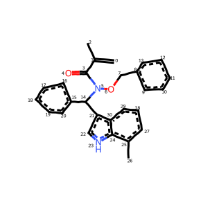 C=C(C)C(=O)N(OCc1ccccc1)C(c1ccccc1)c1c[nH]c2c(C)cccc12